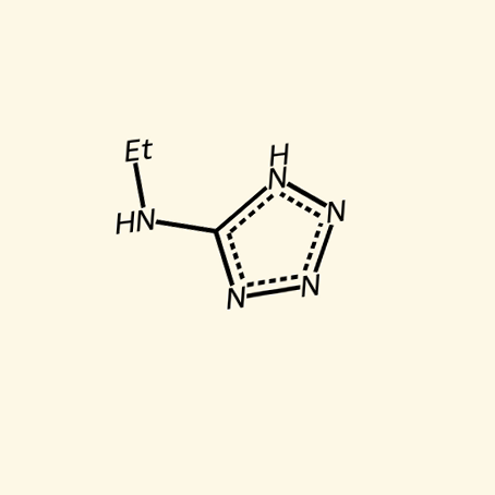 [CH2]CNc1nnn[nH]1